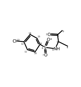 CC(=O)C(C)NS(=O)(=O)c1ccc(Cl)cc1